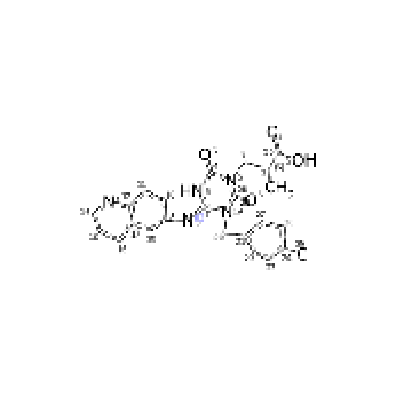 C[C@@H](Cn1c(=O)[nH]/c(=N\c2ccc3ncccc3c2)n(Cc2ccc(Cl)cc2)c1=O)C(=O)O